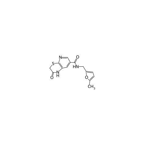 Cc1ccc(CNC(=O)c2cnc3c(c2)NC(=O)CS3)o1